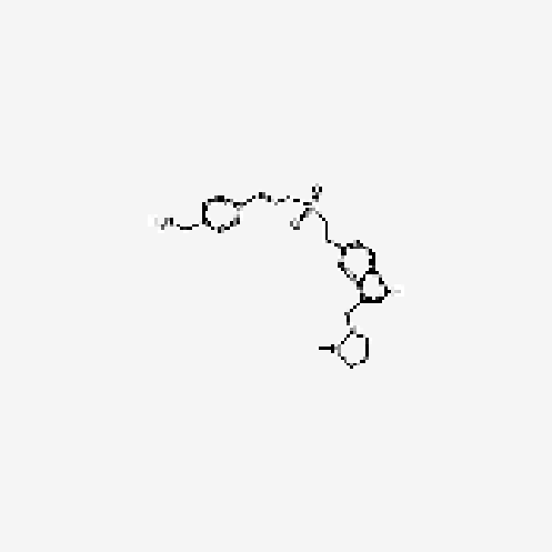 CN1CCC[C@@H]1Cc1c[nH]c2ccc(CCS(=O)(=O)CC=Cc3ccc(CN)cc3)cc12